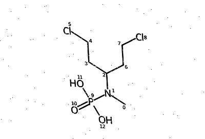 CN(C(CCCl)CCCl)P(=O)(O)O